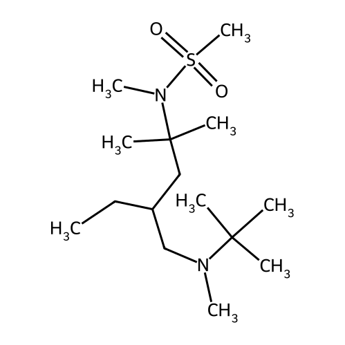 CCC(CN(C)C(C)(C)C)CC(C)(C)N(C)S(C)(=O)=O